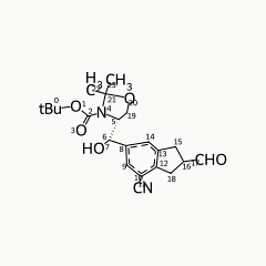 CC(C)(C)OC(=O)N1[C@@H](C(O)c2cc(C#N)c3c(c2)CC(C=O)C3)COC1(C)C